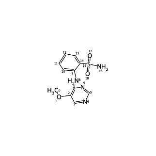 COc1cncnc1.Nc1ccccc1S(N)(=O)=O